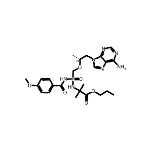 CCCOC(=O)C(C)(C)NP(=O)(CO[C@H](C)Cn1cnc2c(N)ncnc21)NC(=O)c1ccc(OC)cc1